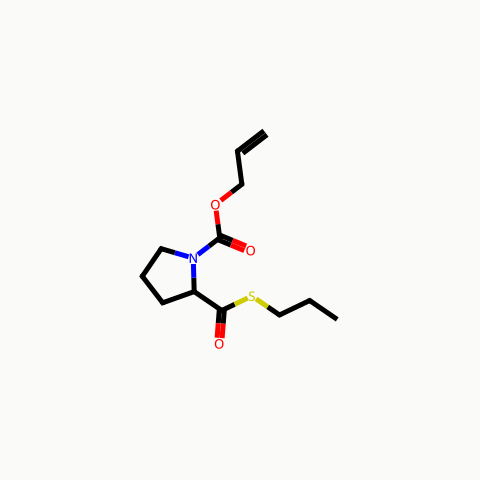 C=CCOC(=O)N1CCCC1C(=O)SCCC